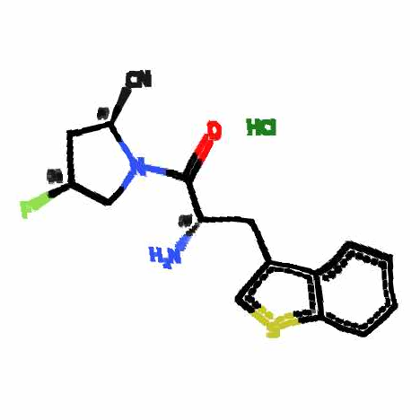 Cl.N#C[C@@H]1C[C@H](F)CN1C(=O)[C@@H](N)Cc1csc2ccccc12